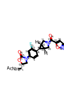 CC(=O)NC[C@H]1CN(c2ccc([C@H]3[C@@H]4CN(C(=O)c5ccno5)C[C@@H]43)c(F)c2)C(=O)O1